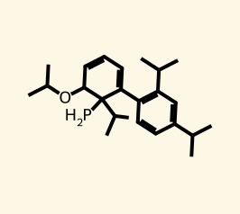 CC(C)OC1C=CC=C(c2ccc(C(C)C)cc2C(C)C)C1(P)C(C)C